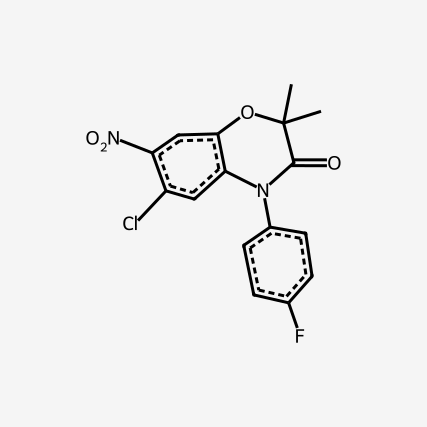 CC1(C)Oc2cc([N+](=O)[O-])c(Cl)cc2N(c2ccc(F)cc2)C1=O